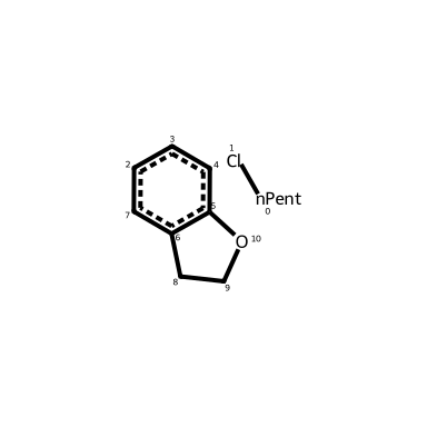 CCCCCCl.c1ccc2c(c1)CCO2